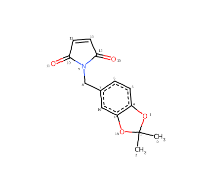 CC1(C)Oc2ccc(CN3C(=O)C=CC3=O)cc2O1